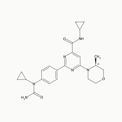 C[C@H]1COCCN1c1cc(C(=O)NC2CC2)nc(-c2ccc(N(C(N)=O)C3CC3)cc2)n1